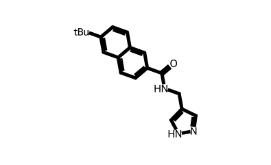 CC(C)(C)c1ccc2cc(C(=O)NCc3cn[nH]c3)ccc2c1